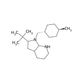 CC(C)(C)C1CC2CCCNC2N1C[C@H]1CC[C@H](C)CC1